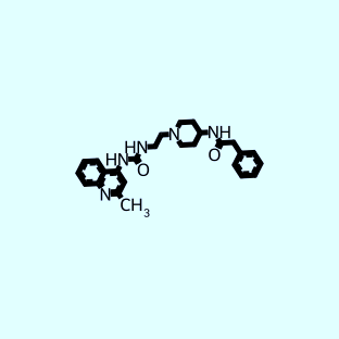 Cc1cc(NC(=O)NCCN2CCC(NC(=O)Cc3ccccc3)CC2)c2ccccc2n1